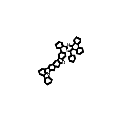 c1ccc(-c2nc(-c3ccccc3-c3ccc4oc5cc6cc7c(cc6cc5c4c3)c3cccc4c5ccccc5n7c43)nc3c4ccccc4c4ccccc4c23)cc1